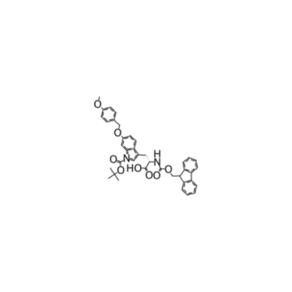 COc1ccc(COc2ccc3c(C[C@H](NC(=O)OCC4c5ccccc5-c5ccccc54)C(=O)O)cn(C(=O)OC(C)(C)C)c3c2)cc1